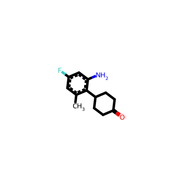 Cc1cc(F)cc(N)c1C1CCC(=O)CC1